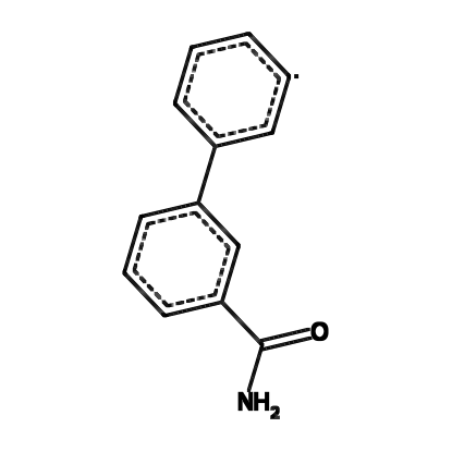 NC(=O)c1cccc(-c2c[c]ccc2)c1